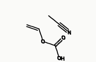 C=COC(=O)O.CC#N